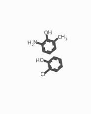 Cc1cccc(N)c1O.Oc1ccccc1Cl